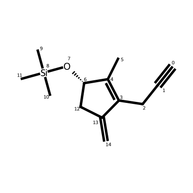 C#CCC1=C(C)[C@@H](O[Si](C)(C)C)CC1=C